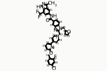 Cc1n[nH]c2c(C(F)F)cc(NC(=O)c3ccc4c(c3)nc(CN3CC=C(c5cccc(OCc6ccc(Cl)cc6F)n5)CC3)n4C[C@@H]3CCO3)cc12